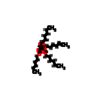 CCCCCCO[O][Ti](=[O])([O]CCCCCC)([O]CCCCCC)[O]OCCCCCC